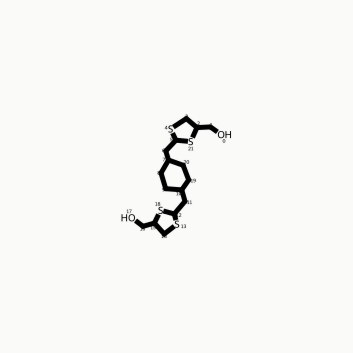 OCC1CSC(CC2CCC(CC3SCC(CO)S3)CC2)S1